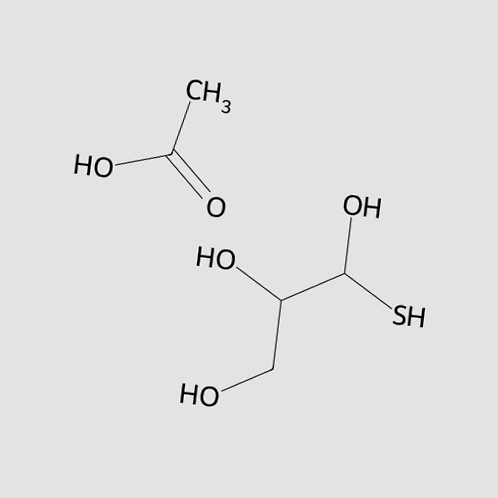 CC(=O)O.OCC(O)C(O)S